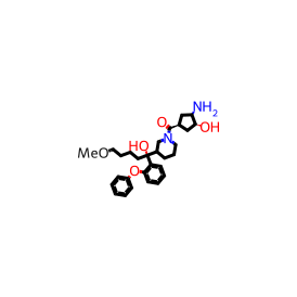 COCCCC[C@@](O)(c1ccccc1Oc1ccccc1)C1CCCN(C(=O)[C@H]2C[C@@H](N)[C@H](O)C2)C1